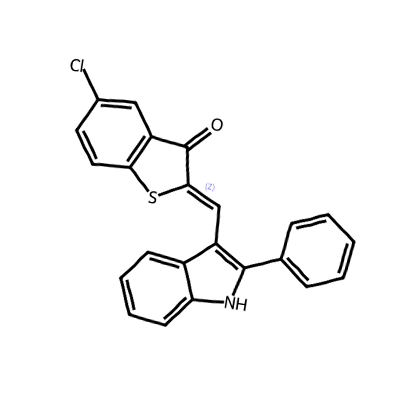 O=C1/C(=C/c2c(-c3ccccc3)[nH]c3ccccc23)Sc2ccc(Cl)cc21